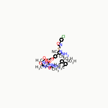 CC(NC(=O)[C@H](C)N)C(=O)OC[C@H](COc1ccc(-c2c(C#N)c(N)nc(SCc3coc(-c4ccc(Cl)cc4)n3)c2C#N)cc1)OC(=O)C(C)NC(=O)[C@H](C)N.Cc1ccc(S(=O)(=O)O)cc1.Cc1ccc(S(=O)(=O)O)cc1